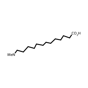 CNCCCCCCCCCCCCC(=O)O